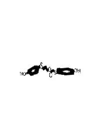 O=C(CSc1ccc(O)cc1)OCCCSc1ccc(O)cc1